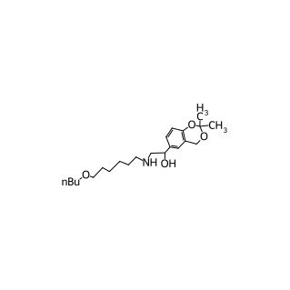 CC[CH]COCCCCCCNCC(O)c1ccc2c(c1)COC(C)(C)O2